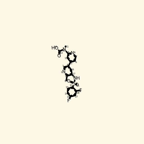 Cc1ncc(-c2ccnc(N(C)C(=O)O)c2)cc1NS(=O)(=O)c1ccc(F)cc1F